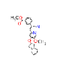 COC(=O)c1cccc(/C(C#N)=C/c2cc(OC3Cc4ccccc4C3)c(OC)cn2)c1